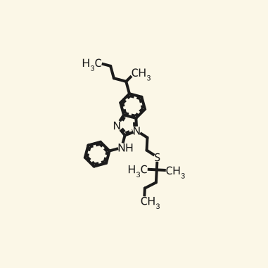 CCCC(C)c1ccc2c(c1)nc(Nc1ccccc1)n2CCSC(C)(C)CCC